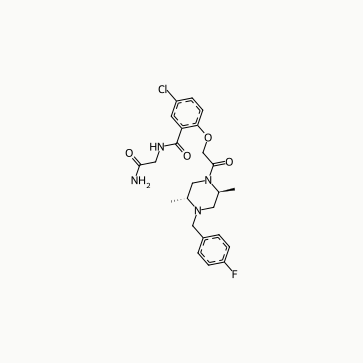 C[C@@H]1CN(C(=O)COc2ccc(Cl)cc2C(=O)NCC(N)=O)[C@@H](C)CN1Cc1ccc(F)cc1